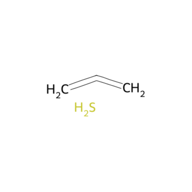 C=C=C.S